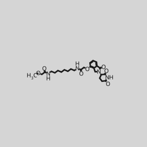 COCC(=O)NCCCCCCCCNC(=O)COc1cccc2c1CN(C1CCC(=O)NC1=O)C2=O